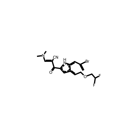 C=C(Br)/C=c1/[nH]c(C(=O)/C(C#N)=C/N(C)C)c/c1=C/COCC(F)F